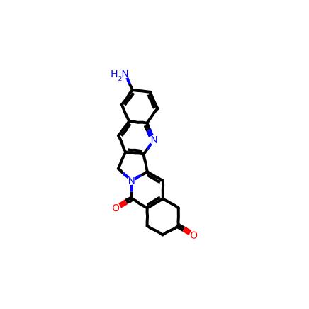 Nc1ccc2nc3c(cc2c1)Cn1c-3cc2c(c1=O)CCC(=O)C2